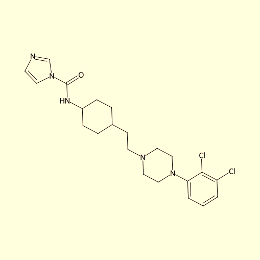 O=C(NC1CCC(CCN2CCN(c3cccc(Cl)c3Cl)CC2)CC1)n1ccnc1